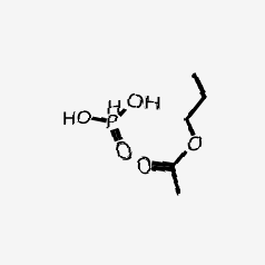 CCCOC(C)=O.O=[PH](O)O